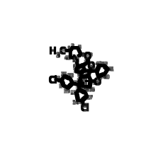 CC1CCCN(c2ccc(NC(c3ccc(Cl)cc3)c3ccc(Cl)cc3)c3c2C(=O)OC32c3ccccc3Oc3ccccc32)C1